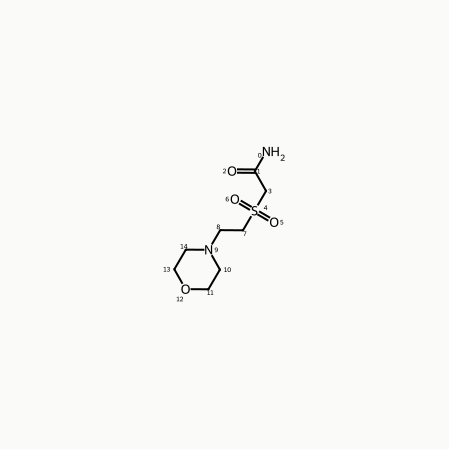 NC(=O)CS(=O)(=O)CCN1CCOCC1